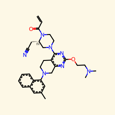 C=CC(=O)N1CCN(c2nc(OCCN(C)C)nc3c2CCN(c2cc(C)cc4ccccc24)C3)C[C@@H]1CC#N